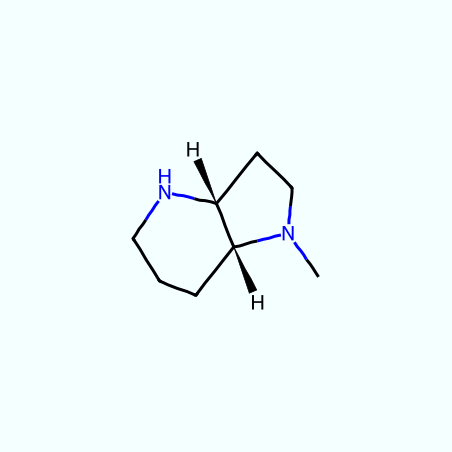 CN1CC[C@H]2NCCC[C@H]21